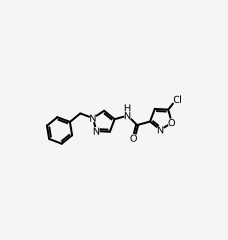 O=C(Nc1cnn(Cc2ccccc2)c1)c1cc(Cl)on1